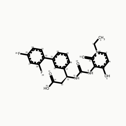 CCn1ccc(O)c(NC(=O)N[C@@H](CC(=O)O)c2cccc(-c3ccc(F)cc3F)c2)c1=O